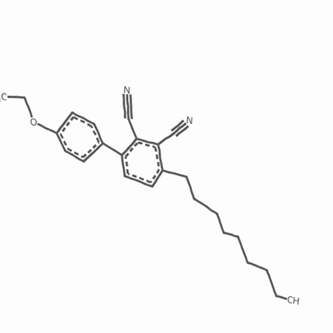 CCCCCCCCCc1ccc(-c2ccc(OCC)cc2)c(C#N)c1C#N